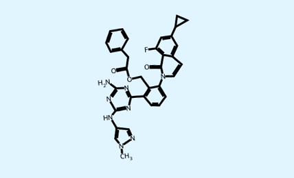 Cn1cc(Nc2nc(N)nc(-c3cccc(-n4ccc5cc(C6CC6)cc(F)c5c4=O)c3COC(=O)Cc3ccccc3)n2)cn1